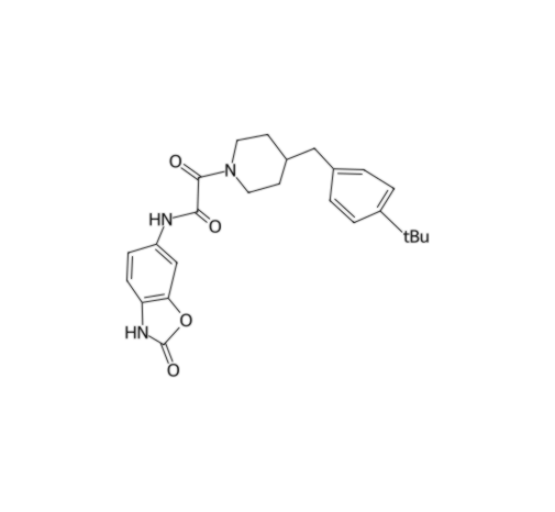 CC(C)(C)c1ccc(CC2CCN(C(=O)C(=O)Nc3ccc4[nH]c(=O)oc4c3)CC2)cc1